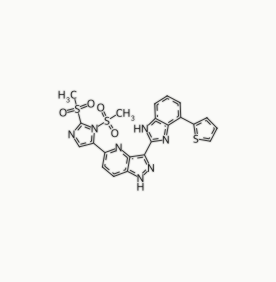 CS(=O)(=O)c1ncc(-c2ccc3[nH]nc(-c4nc5c(-c6cccs6)cccc5[nH]4)c3n2)n1S(C)(=O)=O